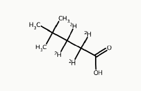 [2H]C([2H])(C(=O)O)C([2H])([2H])C(C)(C)C